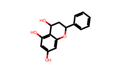 Oc1cc(O)c2c(c1)OC(c1ccccc1)CC2O